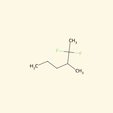 [CH2]CCC(C)C(C)(F)F